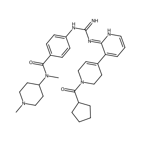 CN1CCC(N(C)C(=O)c2ccc(NC(=N)/N=c3\[nH]cccc3C3=CCN(C(=O)C4CCCC4)CC3)cc2)CC1